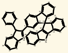 c1ccc(C2C(c3ccc4c(c3)[C@@]3(c5ccccc5-4)c4ccccc4-c4oc5ccccc5c43)=Nc3ccccc32)cc1